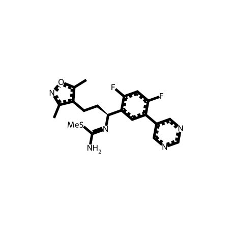 CS/C(N)=N\[C@@H](CCc1c(C)noc1C)c1cc(-c2cncnc2)c(F)cc1F